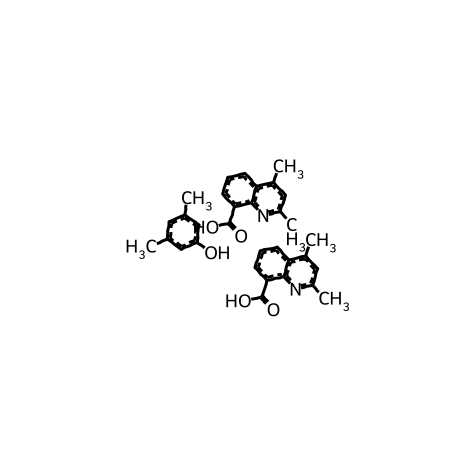 Cc1cc(C)c2cccc(C(=O)O)c2n1.Cc1cc(C)c2cccc(C(=O)O)c2n1.Cc1cc(C)cc(O)c1